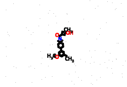 CCc1cc(OC)cc(C2CCC3(CC2)CN(C(=O)C2CC(C)(O)C2)C3)c1